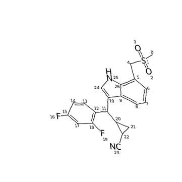 CS(=O)(=O)Cc1cccc2c(C(c3ccc(F)cc3F)C3CC3C#N)c[nH]c12